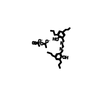 CC(=O)[O-].CC(=O)[O-].CCCc1cc(C=NCN=Cc2cc(CCC)cc(CCC)c2O)c(O)c(CCC)c1.[Co+2]